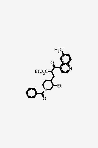 CCOC(=O)C(CC1CCN(C(=O)c2ccccc2)CC1CC)C(=O)c1ccnc2ccc(C)cc12